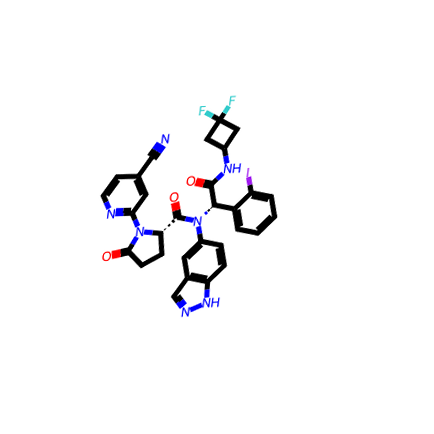 N#Cc1ccnc(N2C(=O)CC[C@H]2C(=O)N(c2ccc3[nH]ncc3c2)[C@H](C(=O)NC2CC(F)(F)C2)c2ccccc2I)c1